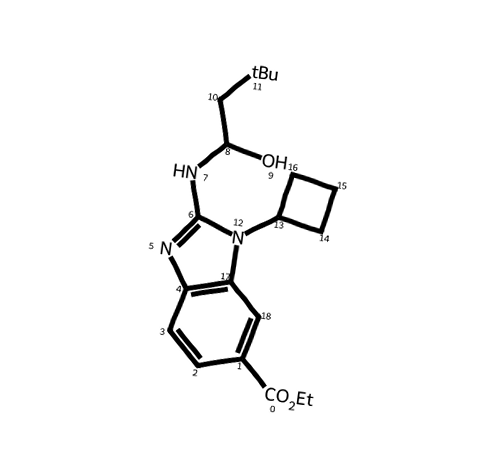 CCOC(=O)c1ccc2nc(NC(O)CC(C)(C)C)n(C3CCC3)c2c1